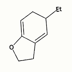 CCC1C=C2CCOC2=CC1